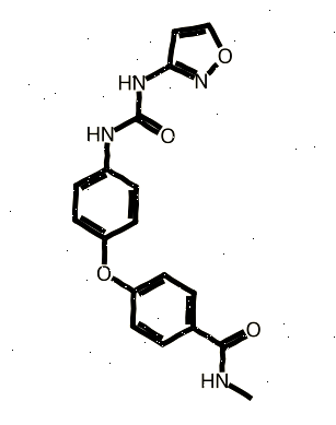 CNC(=O)c1ccc(Oc2ccc(NC(=O)Nc3ccon3)cc2)cc1